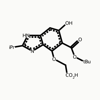 CC(C)c1nc2c(OCC(=O)O)c(C(=O)OC(C)(C)C)c(O)cc2[nH]1